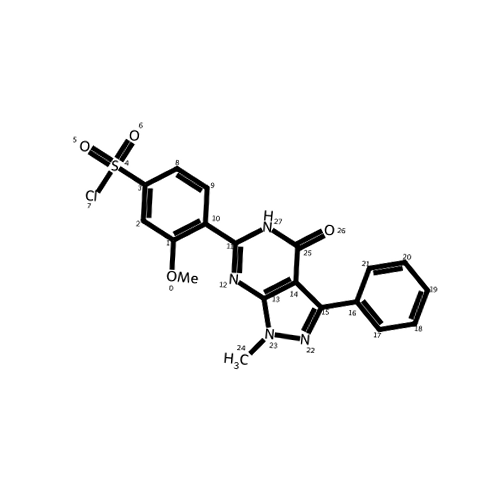 COc1cc(S(=O)(=O)Cl)ccc1-c1nc2c(c(-c3ccccc3)nn2C)c(=O)[nH]1